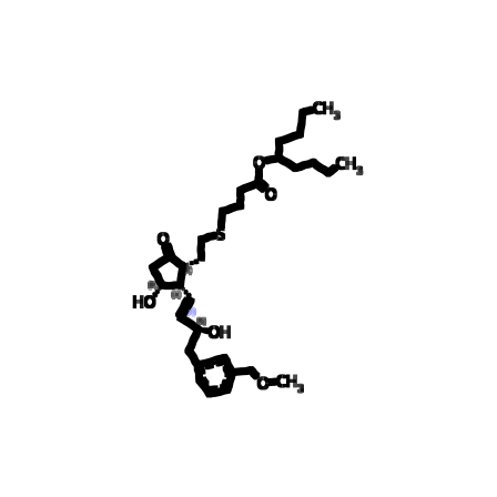 CCCCC(CCCC)OC(=O)CCCSCC[C@H]1C(=O)C[C@@H](O)[C@H]1/C=C/[C@@H](O)Cc1cccc(COC)c1